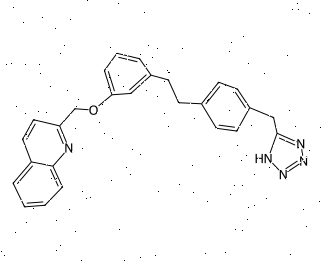 c1cc(CCc2ccc(Cc3nnn[nH]3)cc2)cc(OCc2ccc3ccccc3n2)c1